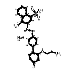 CCCOc1cc(F)ccc1-c1ccc(N=Nc2cc(S(=O)(=O)O)c3ccccc3c2N)cn1.[NaH]